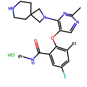 CCc1cc(F)cc(C(=O)NC(C)C)c1Oc1cnc(C)nc1N1CC2(CCNCC2)C1.Cl